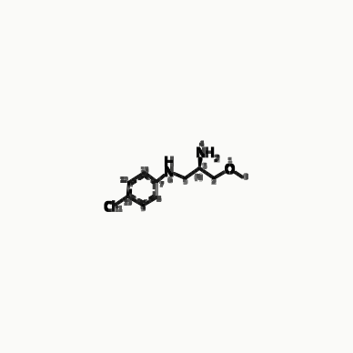 COC[C@H](N)CNc1ccc(Cl)cc1